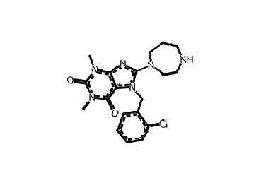 Cn1c(=O)c2c(nc(N3CCCNCC3)n2Cc2ccccc2Cl)n(C)c1=O